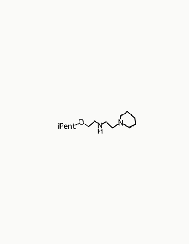 CCCC(C)OCCNCCN1CCCCC1